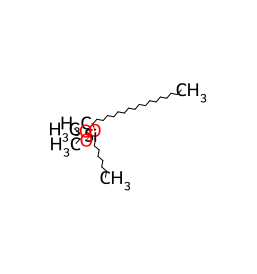 CCCCCCCCCCCCCCCCCC(C)O[Si](CCCCCCCC)(OCC)OCC